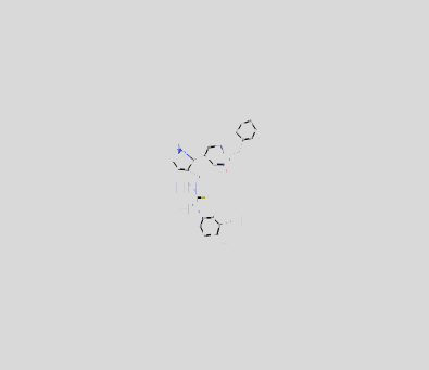 O=c1cc(-c2ncccc2CNC(=S)Nc2ccc(F)c(Cl)c2Cl)ccn1Cc1ccccc1